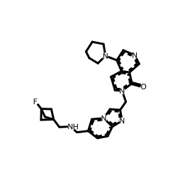 O=c1c2cncc(N3CCCCC3)c2ccn1Cc1cn2cc(CNCC34CC(F)(C3)C4)ccc2n1